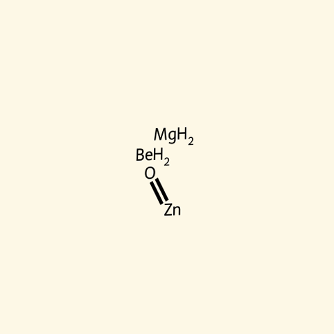 [BeH2].[MgH2].[O]=[Zn]